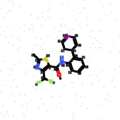 Cc1nc(C(F)F)c(C(=O)Nc2ccccc2C2C=CI=CC2)s1